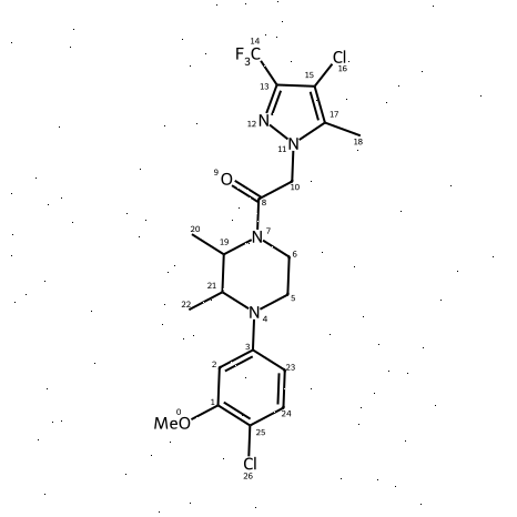 COc1cc(N2CCN(C(=O)Cn3nc(C(F)(F)F)c(Cl)c3C)C(C)C2C)ccc1Cl